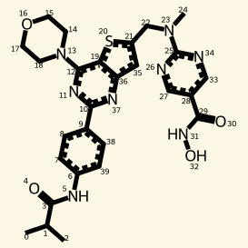 CC(C)C(=O)Nc1ccc(-c2nc(N3CCOCC3)c3sc(CN(C)c4ncc(C(=O)NO)cn4)cc3n2)cc1